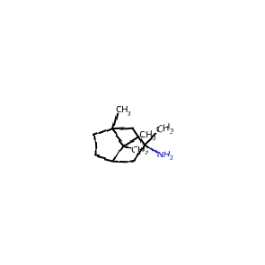 CC1(N)CC2CCC(C)(C1)C2(C)C